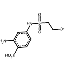 Nc1cc(NS(=O)(=O)CCBr)ccc1S(=O)(=O)O